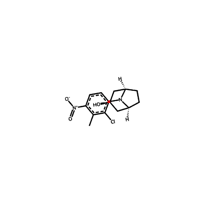 Cc1c([N+](=O)[O-])ccc(N2[C@@H]3CC[C@H]2C[C@@H](O)C3)c1Cl